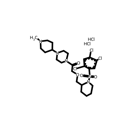 CN1CCC(N2CCN(C(=O)COCC3CCCCN3S(=O)(=O)c3cc(Cl)c(Cl)cc3Cl)CC2)CC1.Cl.Cl